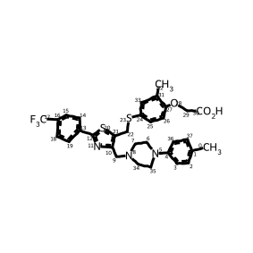 Cc1ccc(N2CCN(Cc3nc(-c4ccc(C(F)(F)F)cc4)sc3CSc3ccc(OCC(=O)O)c(C)c3)CC2)cc1